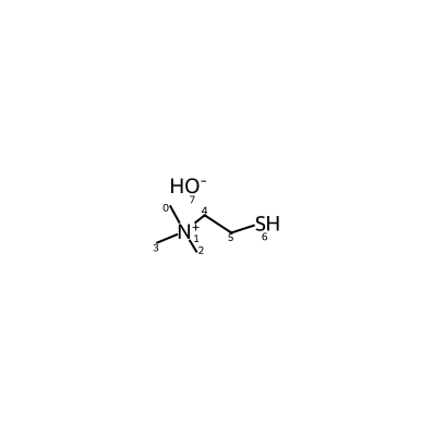 C[N+](C)(C)CCS.[OH-]